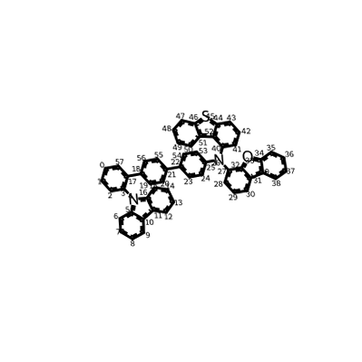 c1ccc(-n2c3ccccc3c3ccccc32)c(-c2ccc(-c3ccc(N(c4cccc5c4oc4ccccc45)c4cccc5sc6ccccc6c45)cc3)cc2)c1